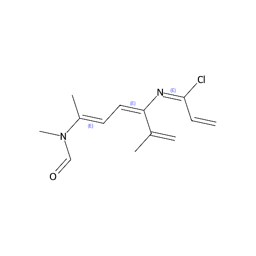 C=C\C(Cl)=N/C(=C/C=C(\C)N(C)C=O)C(=C)C